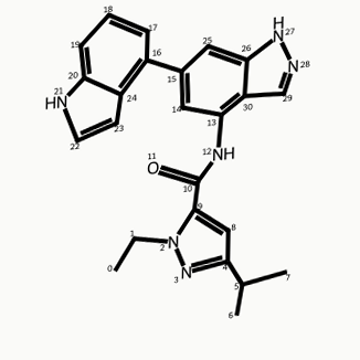 CCn1nc(C(C)C)cc1C(=O)Nc1cc(-c2cccc3[nH]ccc23)cc2[nH]ncc12